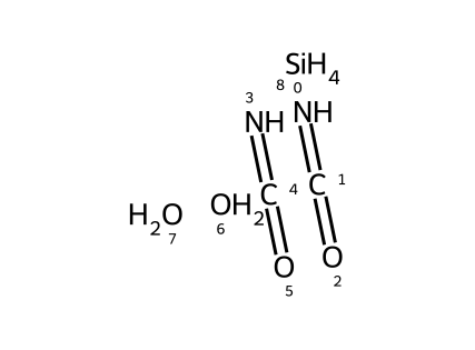 N=C=O.N=C=O.O.O.[SiH4]